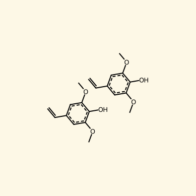 C=Cc1cc(OC)c(O)c(OC)c1.C=Cc1cc(OC)c(O)c(OC)c1